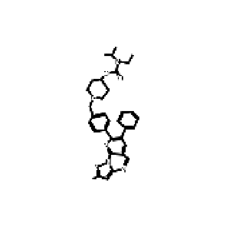 CCN(C(=O)OC1CCN(Cc2ccc(-c3nc4c(cnc5cc(C)nn54)cc3-c3ccccc3)cc2)CC1)C(C)C